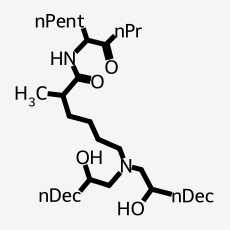 CCCCCCCCCCC(O)CN(CCCCC(C)C(=O)NC(CCCCC)C(=O)CCC)CC(O)CCCCCCCCCC